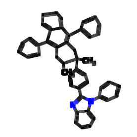 CC1Cc2c(c(-c3ccccc3)c3ccccc3c2-c2ccccc2)CC1(C)c1ccc(-c2nc3ccccc3n2-c2ccccc2)cc1